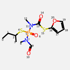 CCC(C)SP(=O)(N(C)C=O)N(C)C(=O)Sc1ccco1